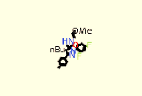 CCCCC1C(c2ccc(C)cc2)=NN(c2ccc(F)cc2F)C1(C)C(=O)NCCOC